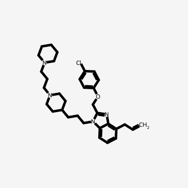 C=CCc1cccc2c1nc(COc1ccc(Cl)cc1)n2CCCC1CCN(CCCN2CCCCC2)CC1